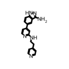 Nc1n[nH]c2ccc(-c3ccnc(NCCc4ccncc4)c3)cc12